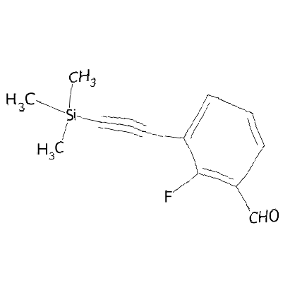 C[Si](C)(C)C#Cc1cccc(C=O)c1F